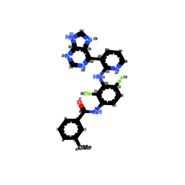 COc1cccc(C(=O)Nc2ccc(F)c(Nc3ncccc3-c3ncnc4[nH]cnc34)c2F)c1